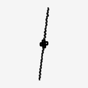 CCCCCCCCCCCCCCCCCCCCCCOC(=O)C(=O)OCCCCCCCCCCCCCCCCCCCCCC